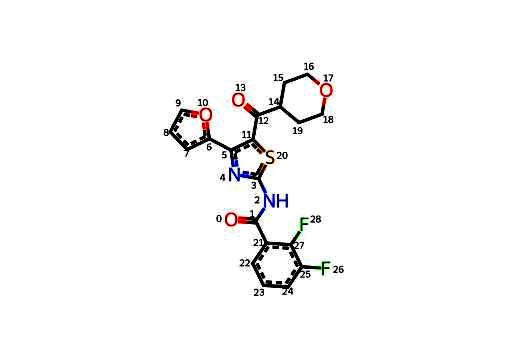 O=C(Nc1nc(-c2ccco2)c(C(=O)C2CCOCC2)s1)c1cccc(F)c1F